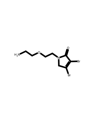 NCCOCCN1CC(Br)=C(Br)C1=O